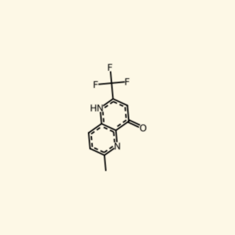 Cc1ccc2[nH]c(C(F)(F)F)cc(=O)c2n1